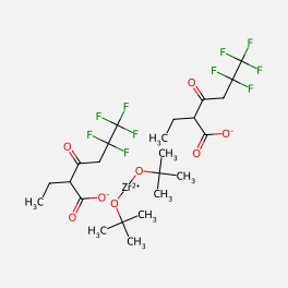 CC(C)(C)[O][Zr+2][O]C(C)(C)C.CCC(C(=O)[O-])C(=O)CC(F)(F)C(F)(F)F.CCC(C(=O)[O-])C(=O)CC(F)(F)C(F)(F)F